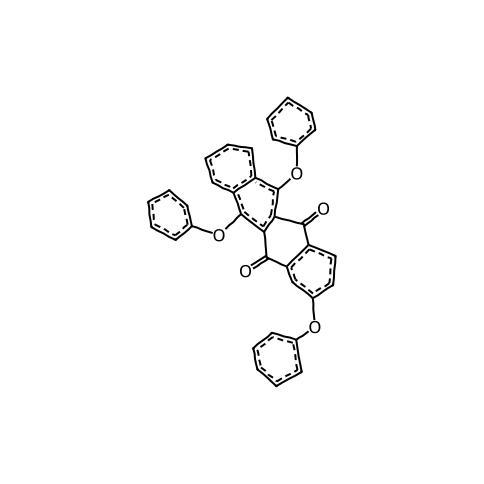 O=C1c2ccc(Oc3ccccc3)cc2C(=O)c2c1c(Oc1ccccc1)c1ccccc1c2Oc1ccccc1